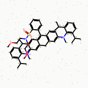 COCCN(CCOC)S(=O)(=O)c1ccccc1C1=C2C=C/C(=[N+](/C)c3c(C(C)C)cccc3C(C)C)C=C2Cc2cc(N(C)c3c(C(C)C)cccc3C(C)C)ccc21